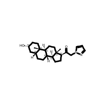 C[C@]12CC[C@@H](O)C[C@H]1CC[C@@H]1[C@@H]2CC[C@]2(C)[C@@H](C(=O)Cn3cccn3)CC[C@@H]12